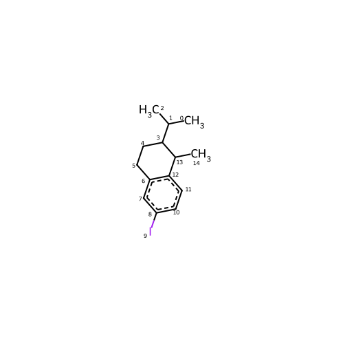 CC(C)C1CCc2cc(I)ccc2C1C